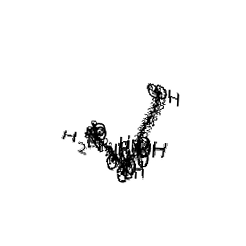 CC(=O)CN(C)C(=O)[C@@H](N)CCCCNC(=O)CC[C@H](NC(=O)CC[C@H](NC(=O)CCCCCCCCCCCCCCC(=O)O)C(=O)O)C(=O)O